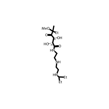 CCC(CC)NCCNCCNC(=O)[C@H](O)[C@@H](O)C(=O)C(C)(CC)OC